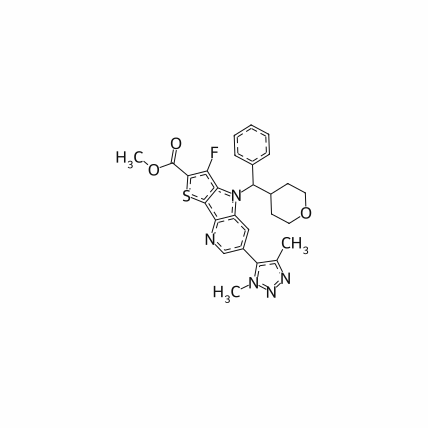 COC(=O)c1sc2c3ncc(-c4c(C)nnn4C)cc3n(C(c3ccccc3)C3CCOCC3)c2c1F